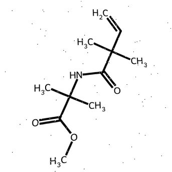 C=CC(C)(C)C(=O)NC(C)(C)C(=O)OC